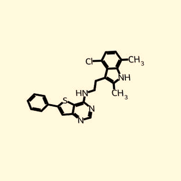 Cc1[nH]c2c(C)ccc(Cl)c2c1CCNc1ncnc2cc(-c3ccccc3)sc12